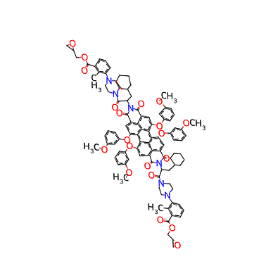 COc1cccc(Oc2cc3c4c(cc(Oc5cccc(OC)c5)c5c6c(Oc7cccc(OC)c7)cc7c8c(cc(Oc9cccc(OC)c9)c(c2c45)c86)C(=O)N(C(CC2CCCCC2)C(=O)N2CCN(c4cccc(C(=O)OCC5CO5)c4C)CC2)C7=O)C(=O)N(C(CC2CCCCC2)C(=O)N2CCN(c4cccc(C(=O)OCC5CO5)c4C)CC2)C3=O)c1